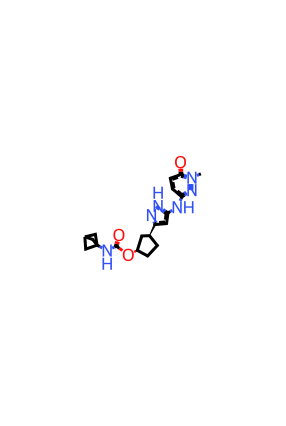 Cn1nc(Nc2cc([C@H]3CC[C@@H](OC(=O)NC45CC(C4)C5)C3)n[nH]2)ccc1=O